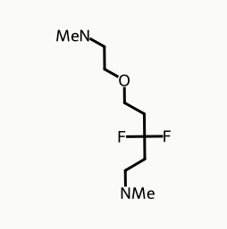 CNCCOCCC(F)(F)CCNC